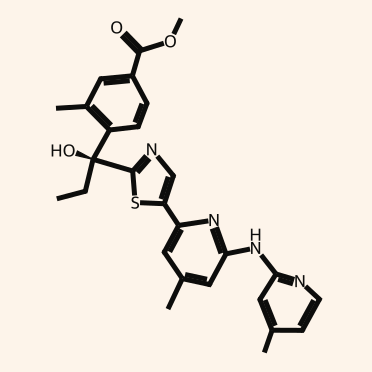 CC[C@@](O)(c1ncc(-c2cc(C)cc(Nc3cc(C)ccn3)n2)s1)c1ccc(C(=O)OC)cc1C